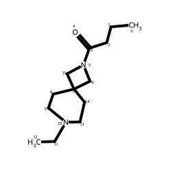 CCCC(=O)N1CC2(CCN(CC)CC2)C1